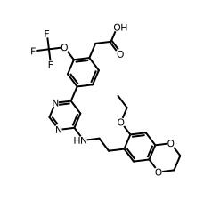 CCOc1cc2c(cc1CCNc1cc(-c3ccc(CC(=O)O)c(OC(F)(F)F)c3)ncn1)OCCO2